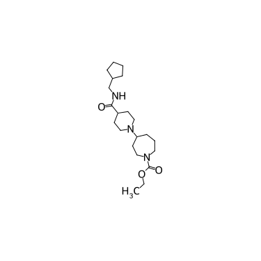 CCOC(=O)N1CCCC(N2CCC(C(=O)NCC3CCCC3)CC2)CC1